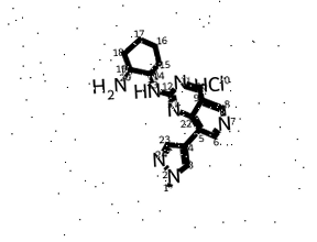 Cl.Cn1cc(-c2cncc3cnc(N[C@@H]4CCCC[C@@H]4N)nc23)cn1